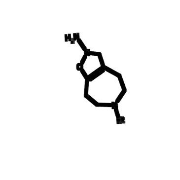 CCN1CCC2=C(CC1)ON(N)C2